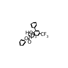 CN(Cc1cc(C(F)(F)F)cc(-c2ccccc2)c1O)C(=O)Oc1ccccc1